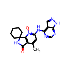 Cc1cc(Nc2ncnc3[nH]ncc23)[n+]([O-])c2c1C(=O)NC21CCCCC1